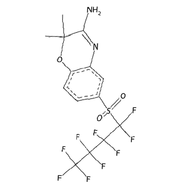 CC1(C)Oc2ccc(S(=O)(=O)C(F)(F)C(F)(F)C(F)(F)C(F)(F)F)cc2N=C1N